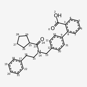 O=C(O)c1ccccc1-c1ccc(CN(CCc2ccccc2)C(=O)C2CCCC2)cc1